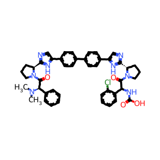 CN(C)[C@@H](C(=O)N1CCC[C@H]1c1ncc(-c2ccc(-c3ccc(-c4cnc([C@@H]5CCCN5C(=O)C(NC(=O)O)c5ccccc5Cl)[nH]4)cc3)cc2)[nH]1)c1ccccc1